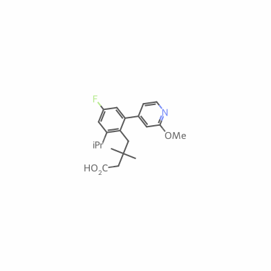 COc1cc(-c2cc(F)cc(C(C)C)c2CC(C)(C)CC(=O)O)ccn1